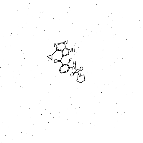 O=C(c1cccc(NS(=O)(=O)N2CCCC2)c1F)c1c[nH]c2ncnc(C3CC3)c12